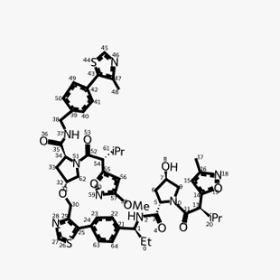 CC[C@H](NC(=O)[C@@H]1C[C@@H](O)CN1C(=O)[C@@H](c1cc(C)no1)C(C)C)c1ccc(-c2scnc2CO[C@@H]2C[C@@H](C(=O)NCc3ccc(-c4scnc4C)cc3)N(C(=O)[C@@H](c3cc(OC)no3)C(C)C)C2)cc1